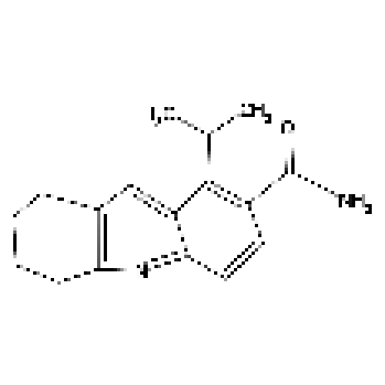 CC(C)c1c(C(N)=O)ccc2nc3c(cc12)CCCC3